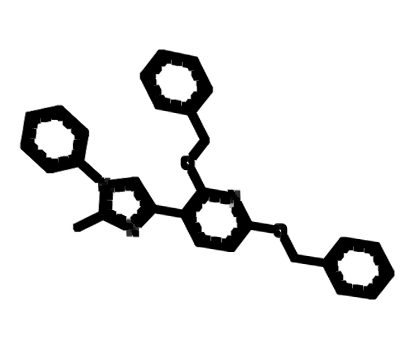 Cc1nc(-c2ccc(OCc3ccccc3)nc2OCc2ccccc2)cn1-c1ccccc1